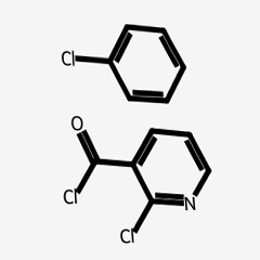 Clc1ccccc1.O=C(Cl)c1cccnc1Cl